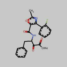 COC(=O)C(=O)C(Cc1ccccc1)NC(=O)c1oc(C)nc1-c1ccccc1F